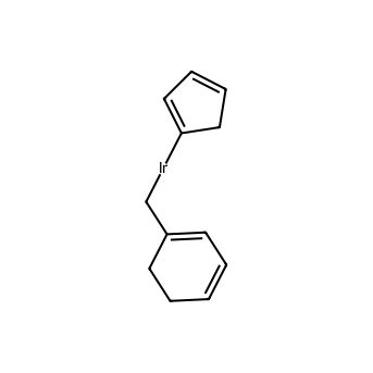 C1=CCCC([CH2][Ir][C]2=CC=CC2)=C1